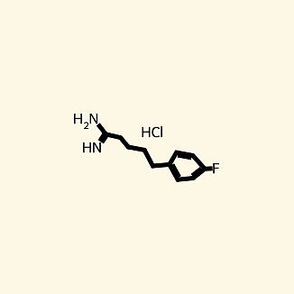 Cl.N=C(N)CCCCc1ccc(F)cc1